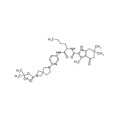 CCCCC(NC(=O)c1[nH]c2c(c1C)C(=O)CC(C)(C)C2)C(=O)Nc1ccc(N2CCC3(CN(C(=O)OC(C)(C)C)C3)C2)nc1